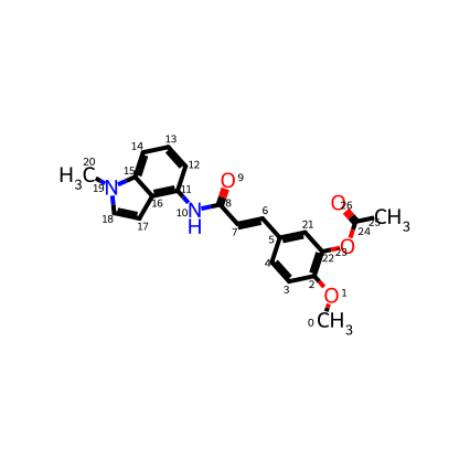 COc1ccc(C=CC(=O)Nc2cccc3c2ccn3C)cc1OC(C)=O